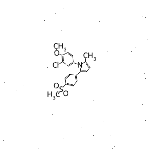 COc1ccc(-n2c(C)ccc2-c2ccc(S(C)(=O)=O)cc2)cc1Cl